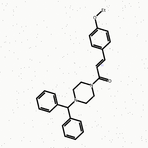 CCOc1ccc(/C=C/C(=O)N2CCN(C(c3ccccc3)c3ccccc3)CC2)cc1